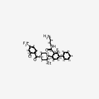 CC[C@@H]1CN(C(=O)c2ccc(C(F)(F)F)cc2Cl)CCN1c1ccc(-c2ccccc2)c(F)c1C(=O)NCCN